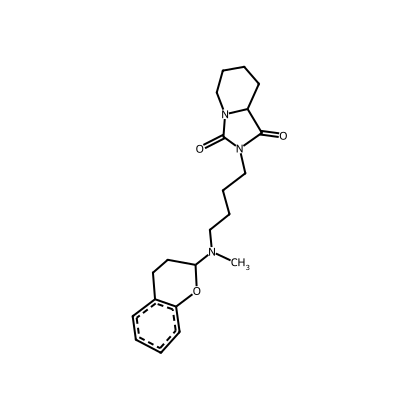 CN(CCCCN1C(=O)C2CCCCN2C1=O)C1CCc2ccccc2O1